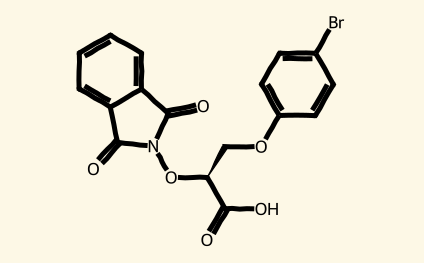 O=C(O)[C@H](COc1ccc(Br)cc1)ON1C(=O)c2ccccc2C1=O